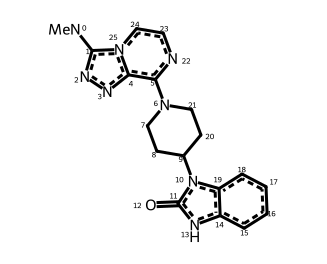 CNc1nnc2c(N3CCC(n4c(=O)[nH]c5ccccc54)CC3)nccn12